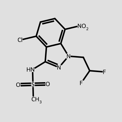 CS(=O)(=O)Nc1nn(CC(F)F)c2c([N+](=O)[O-])ccc(Cl)c12